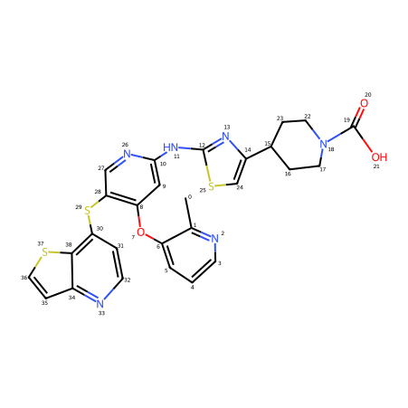 Cc1ncccc1Oc1cc(Nc2nc(C3CCN(C(=O)O)CC3)cs2)ncc1Sc1ccnc2ccsc12